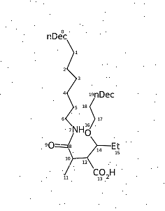 CCCCCCCCCCCCCCCCNC(=O)C(C)C(C(=O)O)C(CC)OCCCCCCCCCCCC